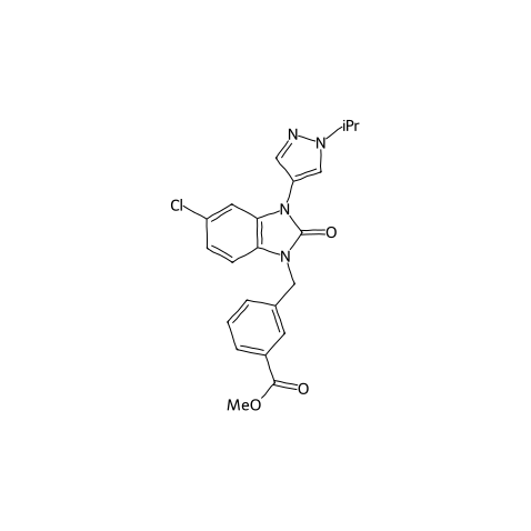 COC(=O)c1cccc(Cn2c(=O)n(-c3cnn(C(C)C)c3)c3cc(Cl)ccc32)c1